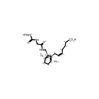 CCCCCCCC(=S)NCC(=O)NC[C@H]1[C@@H](C/C=C\CCCC(=O)O)[C@H]2CC[C@@H]1O2